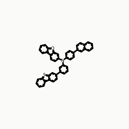 c1cc(-c2ccc3c(c2)sc2ccccc23)cc(N(c2ccc(-c3ccc4ccccc4c3)cc2)c2ccc3c(c2)oc2ccccc23)c1